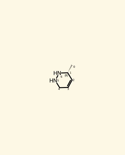 C[C@@H]1C=CCNN1